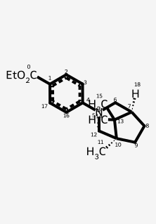 CCOC(=O)c1ccc(N2C[C@H]3CC[C@@](C)(C2)C3(C)C)cc1